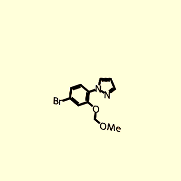 COCOc1cc(Br)ccc1-n1cccn1